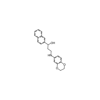 OC(CCNc1ccc2c(c1)OCCO2)c1ccc2ccccc2c1